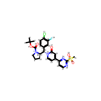 CC(C)(C)OC(=O)N1CCC[C@@H]1[C@H](c1ccc(Cl)c(F)c1)n1ccc(-c2ccnc(S(C)(=O)=O)n2)cc1=O